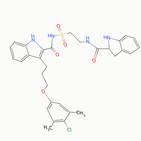 Cc1cc(OCCCc2c(C(=O)NS(=O)(=O)CCNC(=O)C3Cc4ccccc4N3)[nH]c3ccccc23)cc(C)c1Cl